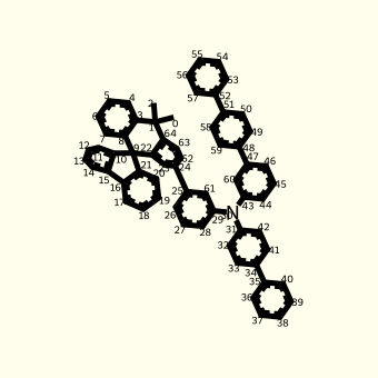 CC1(C)c2ccccc2C2(c3ccccc3-c3ccccc32)c2cc(-c3cccc(N(c4ccc(-c5ccccc5)cc4)c4cccc(-c5ccc(-c6ccccc6)cc5)c4)c3)ccc21